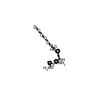 COCCOCCOCCOCCOCCOCC(=O)Nc1cccc(C#CC(=N)c2ccc(Sc3ccccc3C(N)=O)cc2N)c1